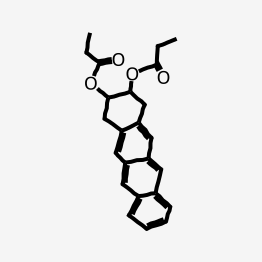 CCC(=O)OC1Cc2cc3cc4ccccc4cc3cc2CC1OC(=O)CC